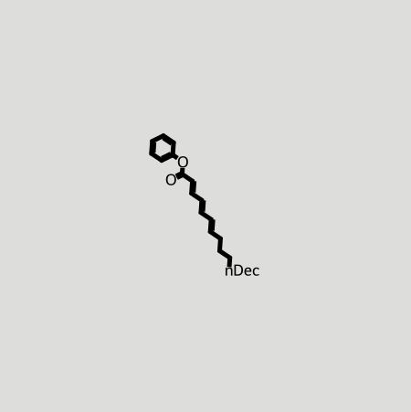 CCCCCCCCCCCCC/C=C/C=C/C=C/C(=O)Oc1ccccc1